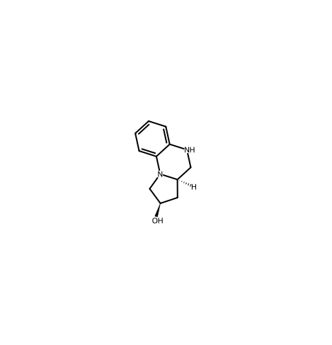 O[C@@H]1C[C@@H]2CNc3ccccc3N2C1